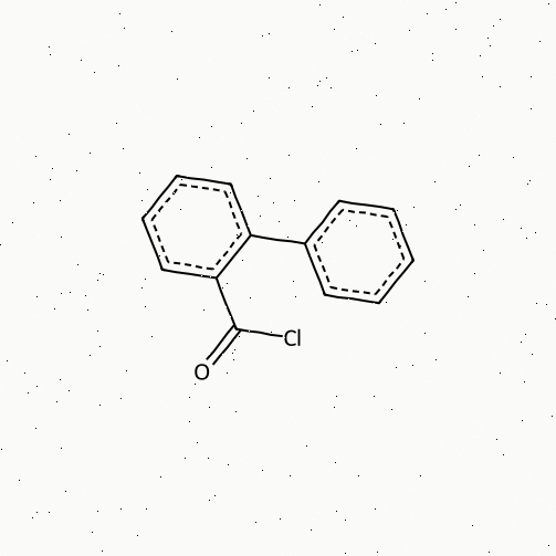 O=C(Cl)c1ccccc1-c1ccccc1